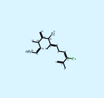 C=C(C)/C(F)=C\C/C=C(\C)C(CC)C(=C)C(C)/C=C\CCC